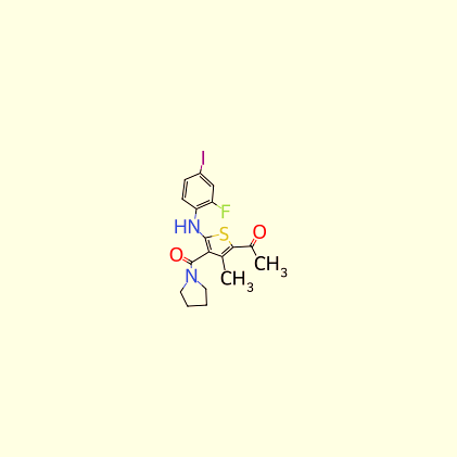 CC(=O)c1sc(Nc2ccc(I)cc2F)c(C(=O)N2CCCC2)c1C